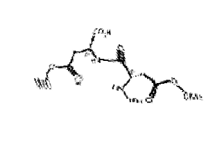 COOC(=O)C[C@H](NC(=O)[C@H](CC(=O)OOC)NC(C)(C)C)C(=O)O